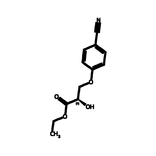 CCOC(=O)[C@H](O)COc1ccc(C#N)cc1